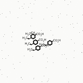 C=C.C=Cc1ccc(C(=O)O)cc1.C=Cc1ccc(C(=O)O)cc1.C=Cc1ccc(C(=O)O)cc1.C=Cc1ccc(C(=O)O)cc1